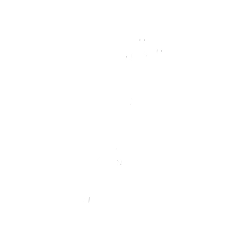 O=S(=O)(Cl)CCCOc1ccc2c(c1)C(C1(c3ccc(Cl)cc3)CCC1)=NCC2